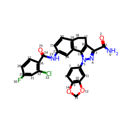 NC(=O)c1nn(-c2ccc3c(c2)OCO3)c2c1CCc1ccc(NC(=O)c3ccc(F)cc3Cl)cc1-2